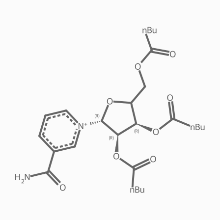 CCCCC(=O)OCC1O[C@@H]([n+]2cccc(C(N)=O)c2)[C@H](OC(=O)CCCC)[C@@H]1OC(=O)CCCC